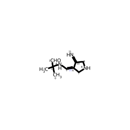 CC(C)(C=O)N/C=C1/CNCC1=N